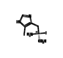 N[C@](I)(Cc1nc[nH]c1I)C(=O)O